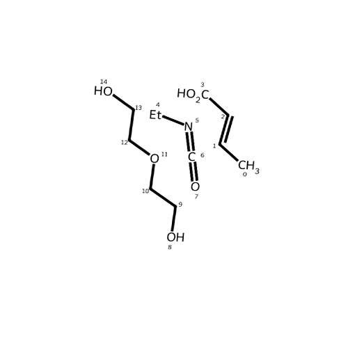 C/C=C/C(=O)O.CCN=C=O.OCCOCCO